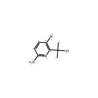 CC(C)(O)c1nc(N)ccc1Br